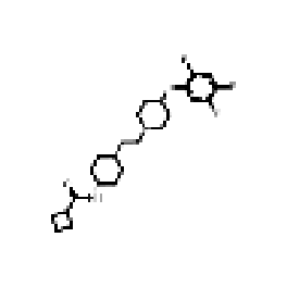 O=C(N[C@H]1CC[C@H](CCN2CCC(Oc3cc(F)c(F)cc3F)CC2)CC1)C1CCC1